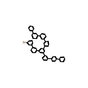 Brc1cccc(-c2cccc(-c3cc(-c4cccc(-c5ccc(-c6ccccc6)cc5)c4)cc(-c4cccc(-c5cccc(-c6cccc(-c7ccccc7)c6)c5)c4)c3)c2)c1